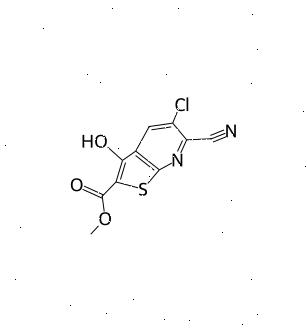 COC(=O)c1sc2nc(C#N)c(Cl)cc2c1O